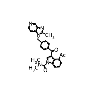 CC(=O)c1cccc2c1c(C(=O)c1ccc(Cn3c(C)nc4cnccc43)cc1)cn2C(=O)N(C)C